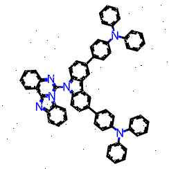 c1ccc(N(c2ccccc2)c2ccc(-c3ccc4c(c3)c3cc(-c5ccc(N(c6ccccc6)c6ccccc6)cc5)ccc3n4-c3nc4ccccc4c4nc5ccccc5n34)cc2)cc1